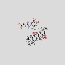 CC1(C)CC[C@]2(C(=O)O)CC[C@]3(COC(=O)/C=C/c4cc(O)c(O)cc4NC(=O)/C=C/C(=O)O)C(=CC[C@@H]4[C@@]5(C)CCC(=O)C(C)(C)[C@@H]5CC[C@]43C)[C@@H]2C1